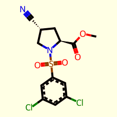 COC(=O)[C@@H]1C[C@@H](C#N)CN1S(=O)(=O)c1cc(Cl)cc(Cl)c1